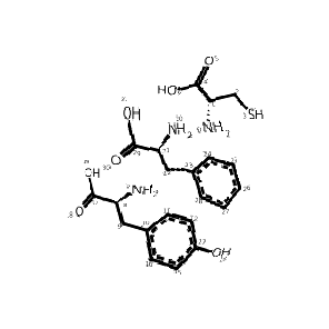 N[C@@H](CS)C(=O)O.N[C@@H](Cc1ccc(O)cc1)C(=O)O.N[C@@H](Cc1ccccc1)C(=O)O